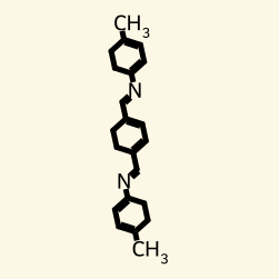 CC1=CC=C(N=CC2=CC=C(C=NC3=CC=C(C)CC3)CC2)CC1